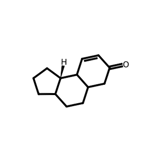 O=C1C=CC2C(CCC3CCC[C@@H]32)C1